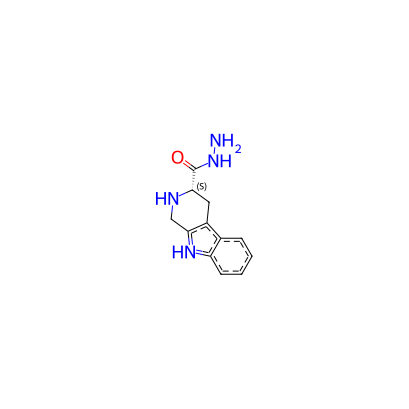 NNC(=O)[C@@H]1Cc2c([nH]c3ccccc23)CN1